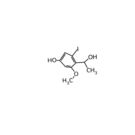 COc1cc(O)cc(I)c1C(C)O